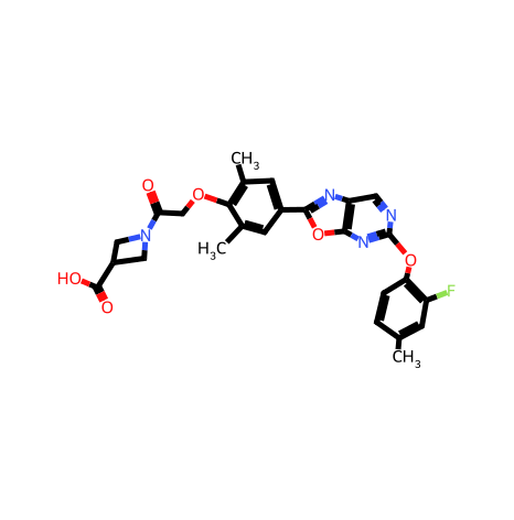 Cc1ccc(Oc2ncc3nc(-c4cc(C)c(OCC(=O)N5CC(C(=O)O)C5)c(C)c4)oc3n2)c(F)c1